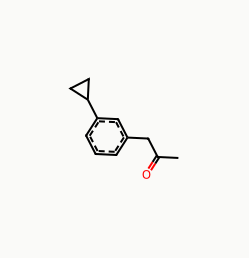 CC(=O)Cc1cccc(C2CC2)c1